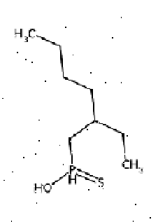 CCCCC(CC)C[PH](O)=S